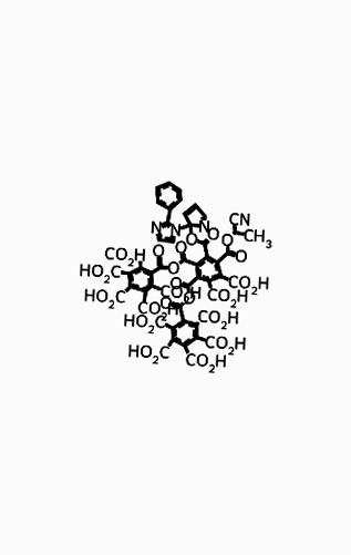 CC(C#N)OC(=O)c1c(C(=O)O)c(C(=O)O)c(C(=O)OC(=O)c2c(C(=O)O)c(C(=O)O)c(C(=O)O)c(C(=O)O)c2C(=O)O)c(C(=O)OC(=O)c2c(C(=O)O)c(C(=O)O)c(C(=O)O)c(C(=O)O)c2C(=O)O)c1C(=O)OC1(n2ccnc2-c2ccccc2)C=CC=N1